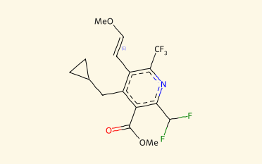 CO/C=C/c1c(C(F)(F)F)nc(C(F)F)c(C(=O)OC)c1CC1CC1